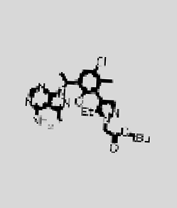 CCOc1c(C(C)n2nc(C)c3c(N)ncnc32)cc(Cl)c(C)c1-c1cnn(CC(=O)OC(C)(C)C)c1